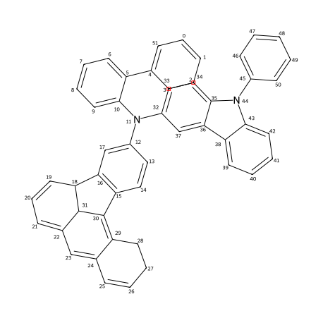 C1=CCCC(c2ccccc2N(c2ccc3c(c2)C2C=CC=C4C=C5C=CCCC5=C3C42)c2ccc3c(c2)c2ccccc2n3-c2ccccc2)=C1